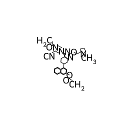 C=CC(=O)Oc1cc(C2CCc3c(nc(OCC4CCCN4C)nc3N3CCN(C(=O)C=C)C(CC#N)C3)C2)c2ccccc2c1